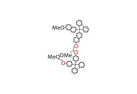 COCCOc1ccc(C2(c3ccc(OC(COC)COc4ccc5cc(C6(c7ccc8cc(OC)ccc8c7)c7ccccc7-c7ccccc76)ccc5c4)cc3)c3ccccc3-c3ccccc32)cc1